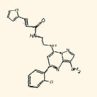 Bc1cnn2c(NCCNC(=O)/C=C/c3ccco3)cc(-c3ccccc3Cl)nc12